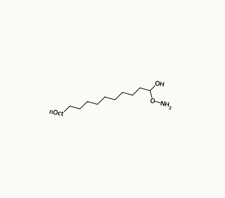 CCCCCCCCCCCCCCCCCC(O)ON